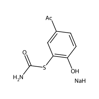 CC(=O)c1ccc(O)c(SC(N)=O)c1.[NaH]